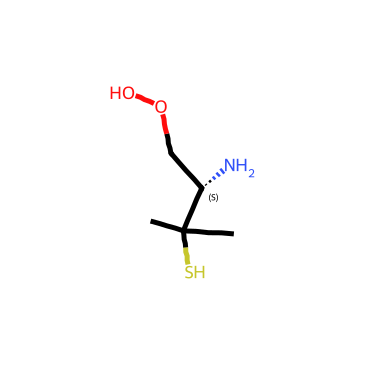 CC(C)(S)[C@@H](N)COO